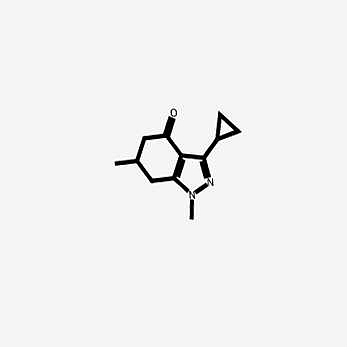 CC1CC(=O)c2c(C3CC3)nn(C)c2C1